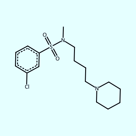 CN(CCCCN1CCCCC1)S(=O)(=O)c1cccc(Cl)c1